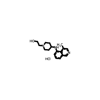 Cc1cncc2cccc(NC3CCN(CCO)CC3)c12.Cl